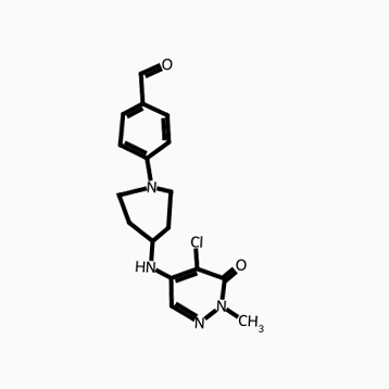 Cn1ncc(NC2CCN(c3ccc(C=O)cc3)CC2)c(Cl)c1=O